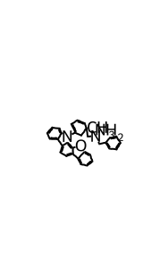 CC1(CN(N)Cc2ccccc2)C=CC=C(n2c3ccccc3c3ccc4c5ccccc5oc4c32)C1